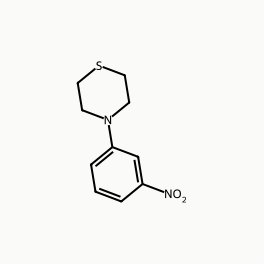 O=[N+]([O-])c1cccc(N2CCSCC2)c1